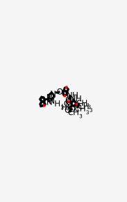 COc1c(NC(=O)Nc2ccc(OCCN3CCn4c(nnc4-c4cccc5ccccc45)C3)c3c2CCC3)cc(C(C)(C)C)cc1NS(C)(=O)=O